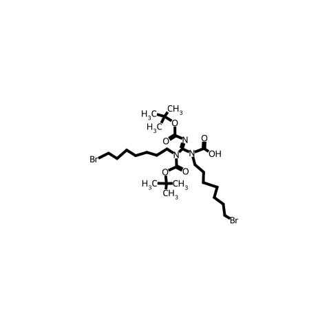 CC(C)(C)OC(=O)N=C(N(CCCCCCCBr)C(=O)O)N(CCCCCCCBr)C(=O)OC(C)(C)C